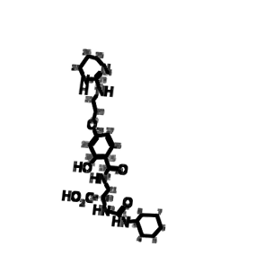 O=C(NC1CCCCC1)N[C@@H](CNC(=O)c1ccc(OCCNC2=NCCCN2)cc1O)C(=O)O